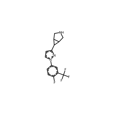 Fc1ccc(-n2ccc(C3C4CNCC43)n2)cc1C(F)(F)F